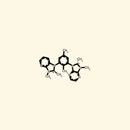 Cc1cc(N2c3nccnc3N(C)[C@H]2C)c(C)c(N2c3cccnc3N(C)[C@@H]2C)c1